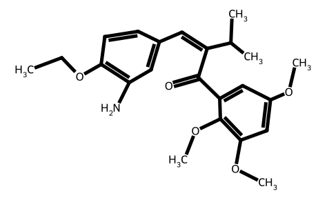 CCOc1ccc(C=C(C(=O)c2cc(OC)cc(OC)c2OC)C(C)C)cc1N